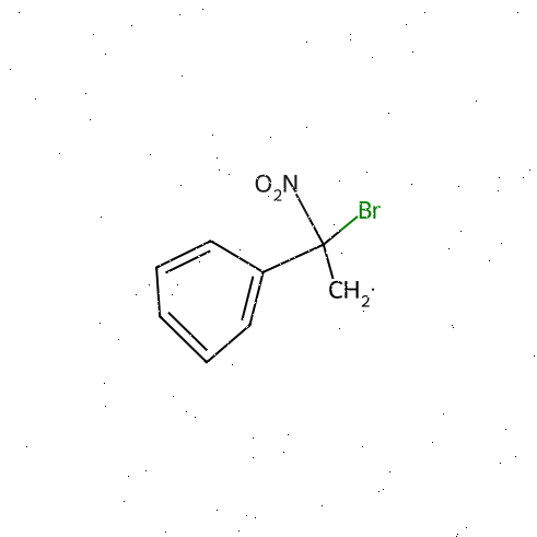 [CH2]C(Br)(c1ccccc1)[N+](=O)[O-]